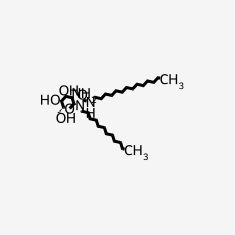 CCCCCCCCCCCCCCNC(=O)N(CCCCCCCCCCCC)[C@@H]1O[C@H](CO)[C@H](O)[C@H](O)[C@H]1N